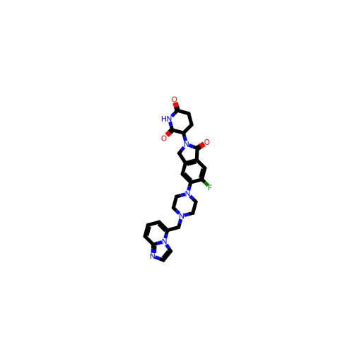 O=C1CCC(N2Cc3cc(N4CCN(Cc5cccc6nccn56)CC4)c(F)cc3C2=O)C(=O)N1